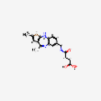 CC1=Nc2cc(CNC(=O)CCC(=O)O)ccc2Nc2sc(C)cc21